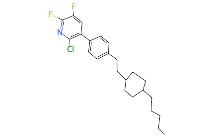 CCCCCC1CCC(CCc2ccc(-c3cc(F)c(F)nc3Cl)cc2)CC1